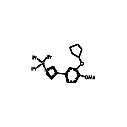 COc1ccc(-c2ccn([Si](C(C)C)(C(C)C)C(C)C)c2)cc1OC1CCCC1